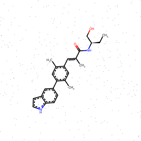 CC[C@H](CO)NC(=O)/C(C)=C/c1cc(C)c(-c2ccc3[nH]ccc3c2)cc1C